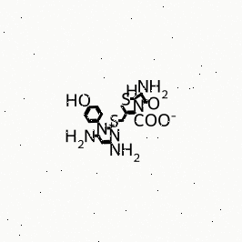 Nc1cc(N)[n+](-c2ccc(O)cc2)c(SCC2=C(C(=O)[O-])N3C(=O)C(N)[C@H]3SC2)n1